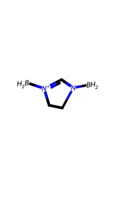 BN1C=[N+](B)CC1